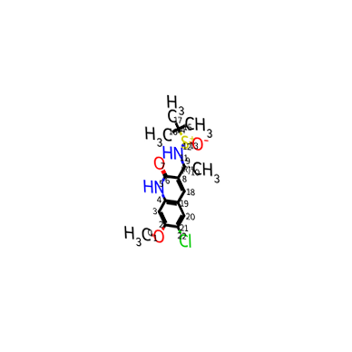 COc1cc2[nH]c(=O)c([C@@H](C)N[S+]([O-])C(C)(C)C)cc2cc1Cl